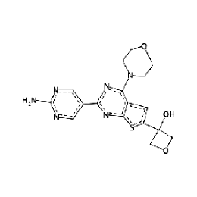 Nc1ncc(-c2nc(N3CCOCC3)c3cc(C4(O)COC4)sc3n2)cn1